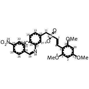 COc1cc(OC)c(/C=C/S(=O)(=O)Cc2ccc(C=O)c(/N=C\c3ccc([N+](=O)[O-])cc3)c2)c(OC)c1